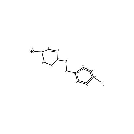 OC1C=CC(OCc2ccc(Cl)cc2)CC1